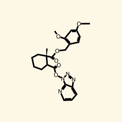 COc1ccc(COC(=O)[C@@]2(C)CCCCC2C(=O)On2nnc3cccnc32)c(OC)c1